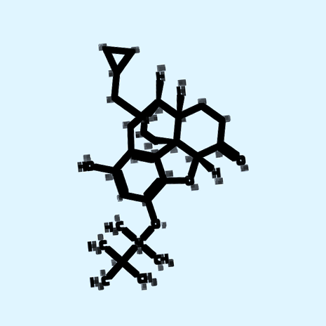 CC(C)(C)[Si](C)(C)Oc1cc(O)c2c3c1O[C@H]1C(=O)CC[C@H]4[C@@H](C2)N(CC2CC2)CC[C@]314